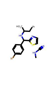 CC(C)CC(NC(c1ccc(Br)cc1)c1nccs1)C(=O)O.CNC#N